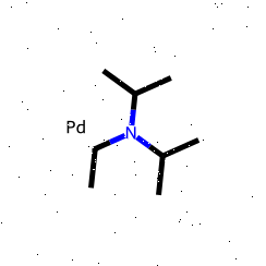 CCN(C(C)C)C(C)C.[Pd]